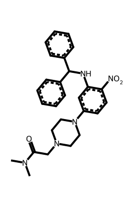 CN(C)C(=O)CN1CCN(c2ccc([N+](=O)[O-])c(NC(c3ccccc3)c3ccccc3)c2)CC1